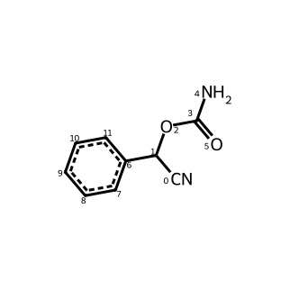 N#CC(OC(N)=O)c1ccccc1